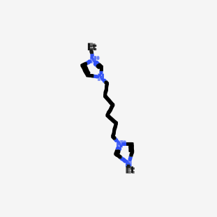 CCn1cc[n+](CCCCCCn2cc[n+](CC)c2)c1